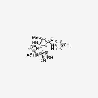 COc1cc(C(=O)NC2CCN(C)CC2)ccc1Nc1ncc(C(C)=O)c(Nc2snc(O)c2C#N)n1